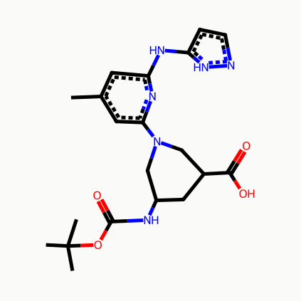 Cc1cc(Nc2ccn[nH]2)nc(N2CC(NC(=O)OC(C)(C)C)CC(C(=O)O)C2)c1